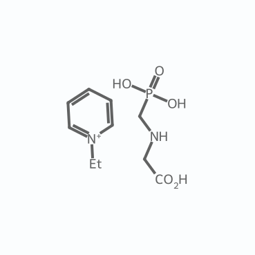 CC[n+]1ccccc1.O=C(O)CNCP(=O)(O)O